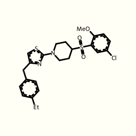 CCc1ccc(Cc2csc(N3CCC(S(=O)(=O)c4cc(Cl)ccc4OC)CC3)n2)cc1